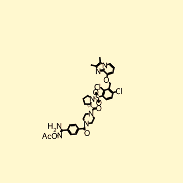 CC(=O)ON=C(N)c1ccc(C(=O)N2CCN(C(=O)[C@@H]3CCCN3S(=O)(=O)c3ccc(Cl)c(COc4cccn5c(C)c(C)nc45)c3Cl)CC2)cc1